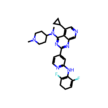 CN1CCC(N(C)c2nc(-c3ccnc(NC4=C(F)CCC=C4F)c3)nc3cncc(C4CC4)c23)CC1